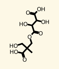 CC(CO)(COC(=O)C(O)C(O)C(=O)O)C(=O)O